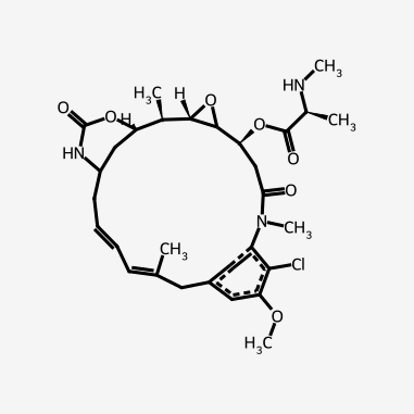 CN[C@@H](C)C(=O)O[C@H]1CC(=O)N(C)c2cc(cc(OC)c2Cl)C/C(C)=C/C=C/CC2C[C@H](OC(=O)N2)[C@@H](C)[C@@H]2OC12